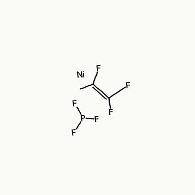 CC(F)=C(F)F.FP(F)F.[Ni]